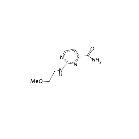 COCCNc1nccc(C(N)=O)n1